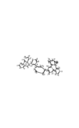 c1cc(-c2cccc(-c3cc4ccccc4c4ccccc34)c2)cc(-c2ccc3c4ccccc4c4nccnc4c3c2)c1